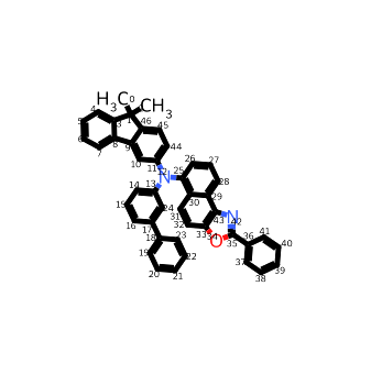 CC1(C)c2ccccc2-c2cc(N(c3cccc(-c4ccccc4)c3)c3cccc4c3ccc3oc(-c5ccccc5)nc34)ccc21